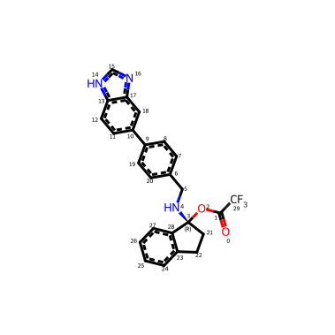 O=C(O[C@]1(NCc2ccc(-c3ccc4[nH]cnc4c3)cc2)CCc2ccccc21)C(F)(F)F